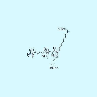 CCCCCCCC/C=C\CCCCCCCCN(CCCCCCCCCCCCCCCC)C(=O)C(N)CNC(=O)C(N)CCCN/C(N)=N\C